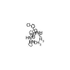 CCNC(=O)O[C@H](c1cccc(Cl)c1)[C@@H]1CCCN(C(=O)N[C@H](CNC)CC2CCCCC2)C1